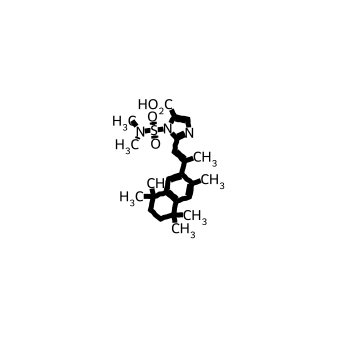 C/C(=C\c1ncc(C(=O)O)n1S(=O)(=O)N(C)C)c1cc2c(cc1C)C(C)(C)CCC2(C)C